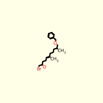 C/C(=C\CCC(=O)CBr)CCCC(C)COCc1ccccc1